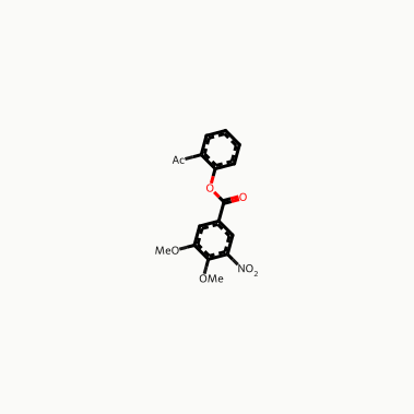 COc1cc(C(=O)Oc2ccccc2C(C)=O)cc([N+](=O)[O-])c1OC